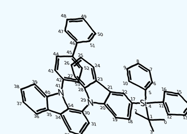 CC(C)(C)[Si](c1ccccc1)(c1ccccc1)c1ccc2c(c1)c1ccccc1n2-c1cccc2c3ccccc3n(-c3ccc(-c4ccccc4)cc3)c12